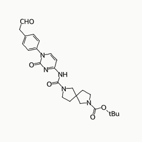 CC(C)(C)OC(=O)N1CCC2(CCN(C(=O)Nc3ccn(-c4ccc(CC=O)cc4)c(=O)n3)C2)C1